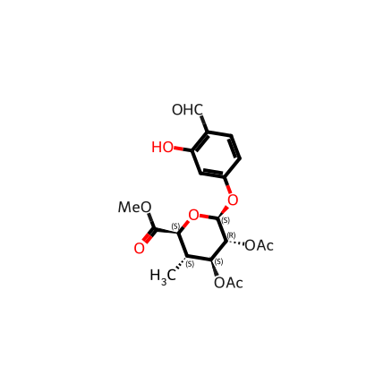 COC(=O)[C@H]1O[C@@H](Oc2ccc(C=O)c(O)c2)[C@H](OC(C)=O)[C@@H](OC(C)=O)[C@@H]1C